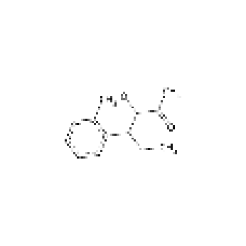 CCC(c1ccccc1C)C(O)C(C)=O